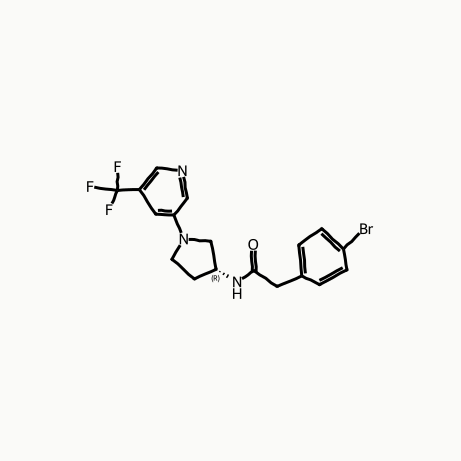 O=C(Cc1ccc(Br)cc1)N[C@@H]1CCN(c2cncc(C(F)(F)F)c2)C1